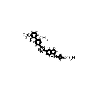 Cc1cc(-c2nc(-c3ccc4c(c3)CCC4NC3CC(C(=O)O)C3)no2)ccc1-c1cccc(C(F)(F)F)c1F